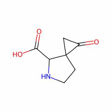 O=C(O)C1NCCC12CC2=O